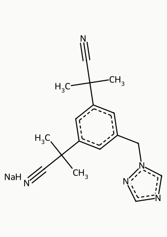 CC(C)(C#N)c1cc(Cn2cncn2)cc(C(C)(C)C#N)c1.[NaH]